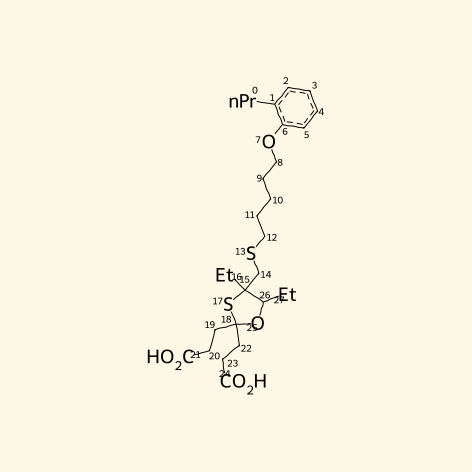 CCCc1ccccc1OCCCCCSCC1(CC)SC(CCC(=O)O)(CCC(=O)O)OC1CC